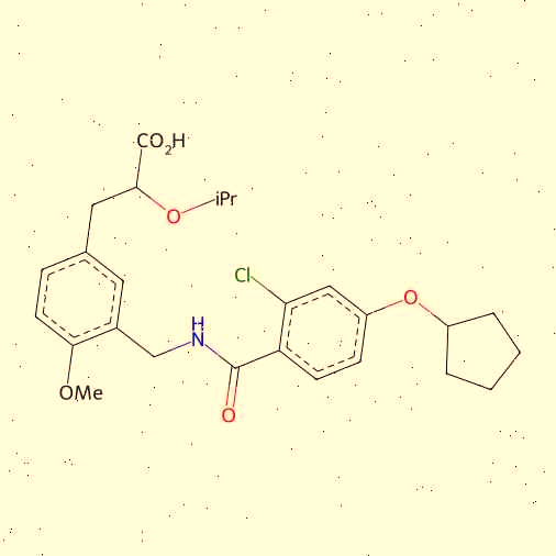 COc1ccc(CC(OC(C)C)C(=O)O)cc1CNC(=O)c1ccc(OC2CCCC2)cc1Cl